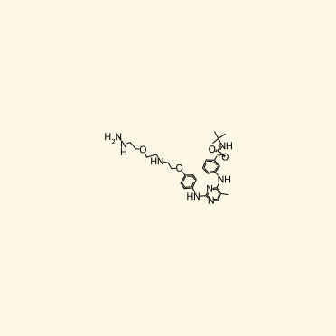 Cc1cnc(Nc2ccc(OCCNCCOCCNN)cc2)nc1Nc1cccc(S(=O)(=O)NC(C)(C)C)c1